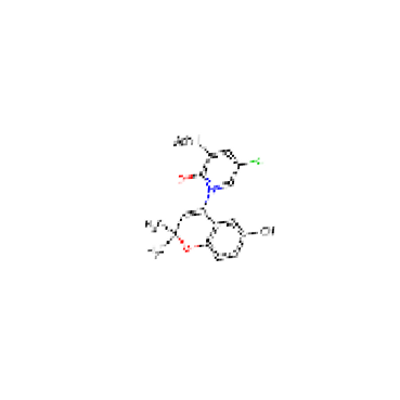 CC(=O)Nc1cc(Cl)cn(C2=CC(C)(C)Oc3ccc(C#N)cc32)c1=O